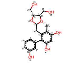 CCc1c(O)cc(O)c(-c2cccc(O)c2)c1CC1O[C@H](CO)[C@@H](CO)O1